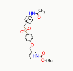 C/C=C(\CNC(=O)OC(C)(C)C)COc1ccc(S(=O)(=O)CC23CCC(NC(=O)C(F)(F)F)(CC2)CC3)cc1